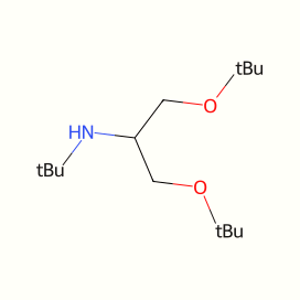 CC(C)(C)NC(COC(C)(C)C)COC(C)(C)C